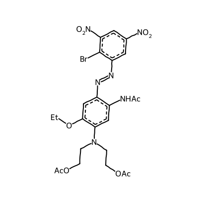 CCOc1cc(N=Nc2cc([N+](=O)[O-])cc([N+](=O)[O-])c2Br)c(NC(C)=O)cc1N(CCOC(C)=O)CCOC(C)=O